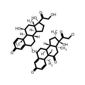 C[C@H]1C[C@@H]2[C@H]([C@@H](O)C[C@@]3(C)[C@H]2CC[C@]3(O)C(=O)CO)[C@@]2(C)C=CC(=O)C=C12.C[C@H]1C[C@H]2[C@@H]3CCC4=CC(=O)C=C[C@]4(C)[C@@]3(F)C(=O)C[C@]2(C)[C@@]1(O)C(=O)CCl